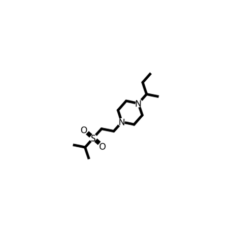 CCC(C)N1CCN(CCS(=O)(=O)C(C)C)CC1